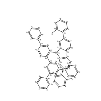 Cc1ccccc1-c1ccc2c3ccc(-c4ccccc4C)cc3n(-c3cc(-c4cccnc4)ccc3-c3nc(-c4ccccc4)nc(-c4ccccc4)n3)c2c1